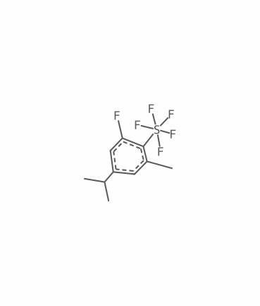 Cc1cc(C(C)C)cc(F)c1S(F)(F)(F)(F)F